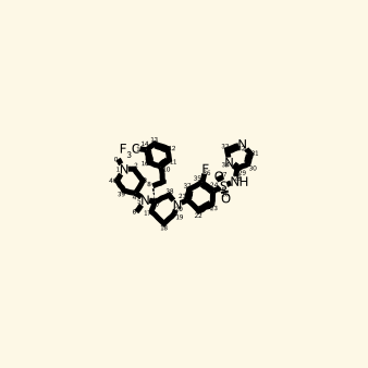 CN1CCC(N(C)[C@]2(CCc3cccc(C(F)(F)F)c3)CCCN(c3ccc(S(=O)(=O)Nc4ccncn4)c(F)c3)C2)CC1